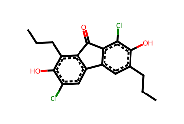 CCCc1cc2c(c(Cl)c1O)C(=O)c1c-2cc(Cl)c(O)c1CCC